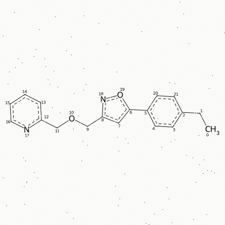 CCc1ccc(-c2cc(COCc3ccccn3)no2)cc1